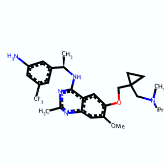 COc1cc2nc(C)nc(N[C@H](C)c3cc(N)cc(C(F)(F)F)c3)c2cc1OCC1(CN(C)C(C)C)CC1